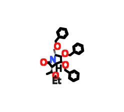 CCOC(C)[C@@H]1C(=O)N2[C@@H]1[C@H](OCc1ccccc1)[C@@H](OCc1ccccc1)[C@H]2COCc1ccccc1